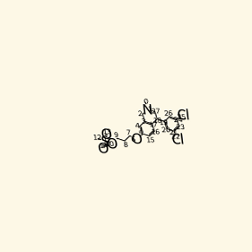 CN1Cc2cc(OCCCOS(C)(=O)=O)ccc2C(c2cc(Cl)cc(Cl)c2)C1